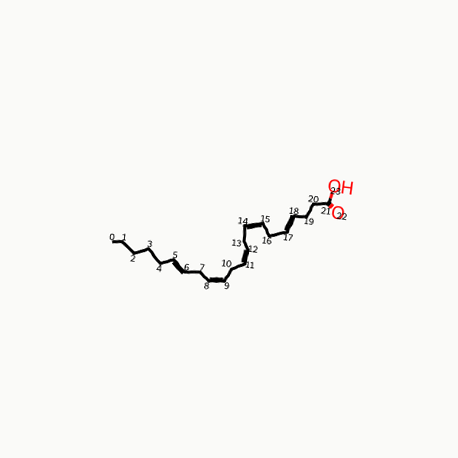 CCCCC/C=C/C/C=C\C/C=C\C/C=C\C/C=C/CCC(=O)O